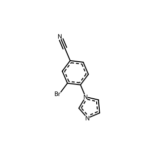 N#Cc1ccc(-n2ccnc2)c(Br)c1